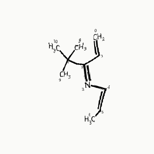 C=C/C(=N\C=C/C)C(C)(C)C